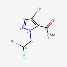 COC(=O)c1c(Br)cnn1CC(F)F